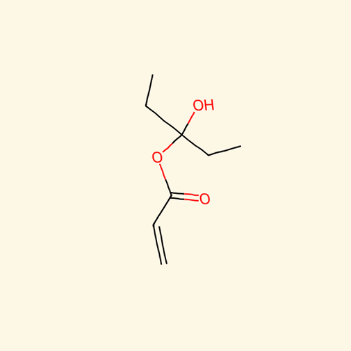 C=CC(=O)OC(O)(CC)CC